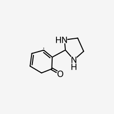 O=C1CC=C[C]=C1C1NCCN1